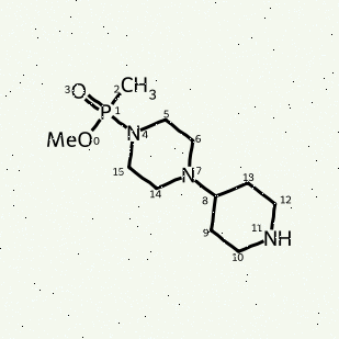 COP(C)(=O)N1CCN(C2CCNCC2)CC1